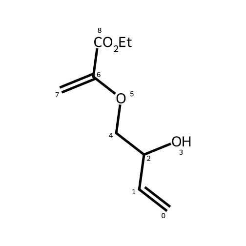 C=CC(O)COC(=C)C(=O)OCC